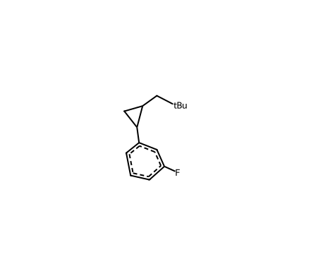 CC(C)(C)CC1CC1c1cccc(F)c1